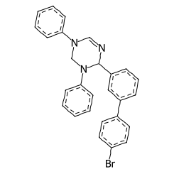 Brc1ccc(-c2cccc(C3N=CN(c4ccccc4)CN3c3ccccc3)c2)cc1